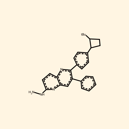 CC(C)(C)C1CC[C]1c1ccc(-c2nc3ccc(NN)nc3cc2-c2ccccc2)cc1